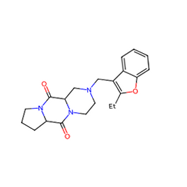 CCc1oc2ccccc2c1CN1CCN2C(=O)C3CCCN3C(=O)C2C1